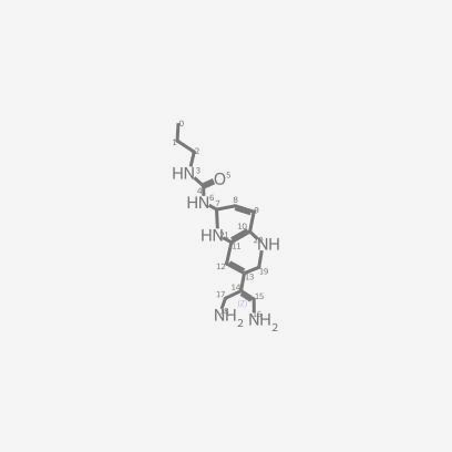 CCCNC(=O)NC1C=CC2=C(C=C(/C(=C/N)CN)CN2)N1